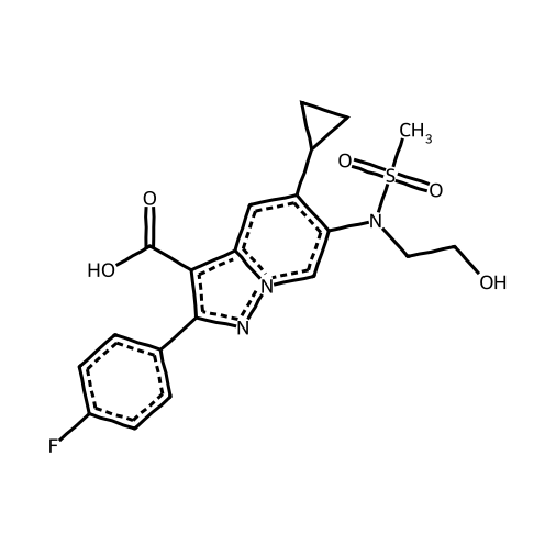 CS(=O)(=O)N(CCO)c1cn2nc(-c3ccc(F)cc3)c(C(=O)O)c2cc1C1CC1